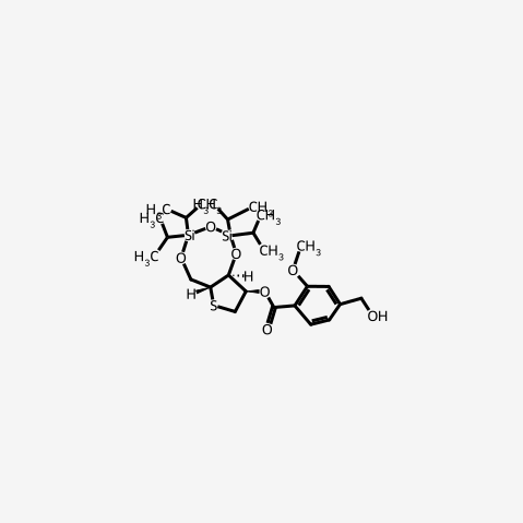 COc1cc(CO)ccc1C(=O)O[C@H]1CS[C@@H]2CO[Si](C(C)C)(C(C)C)O[Si](C(C)C)(C(C)C)O[C@@H]12